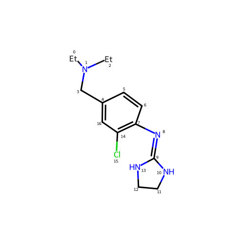 CCN(CC)Cc1ccc(N=C2NCCN2)c(Cl)c1